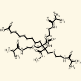 COC(=O)C(COCCNC(=O)C(C)N)(NC=O)C(CCCCCCCCC(=O)O)(COCCNC(=O)C(C)N)COCCNC(=O)C(C)N